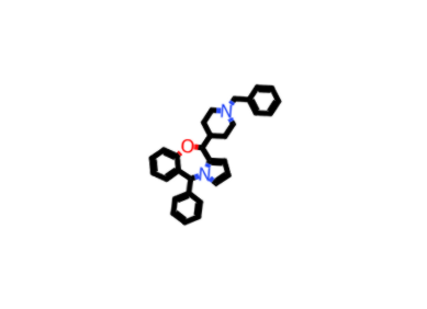 c1ccc(CN2CCC(C3Oc4ccccc4C(c4ccccc4)n4cccc43)CC2)cc1